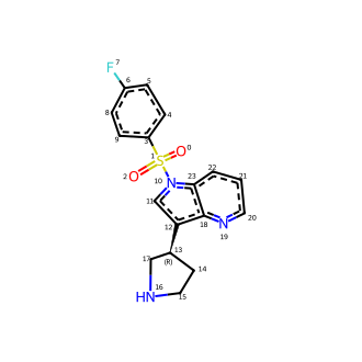 O=S(=O)(c1ccc(F)cc1)n1cc([C@H]2CCNC2)c2ncccc21